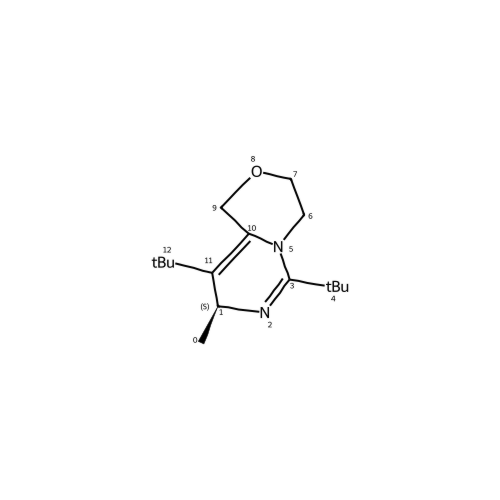 C[C@@H]1N=C(C(C)(C)C)N2CCOCC2=C1C(C)(C)C